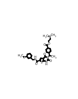 COc1cccc(CNC(=O)c2cc3c(=O)n(C(C)c4ccc(C(=O)OCCN(C)C)cc4)c(=O)[nH]c3s2)c1